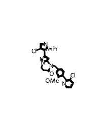 COc1cc(CN2C(=O)CCn3nc(-c4c(Cl)cnn4C(C)C)cc32)ccc1-c1ncccc1Cl